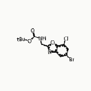 CC(C)(C)OC(=O)NCc1nc2cc(Br)cc(Cl)c2o1